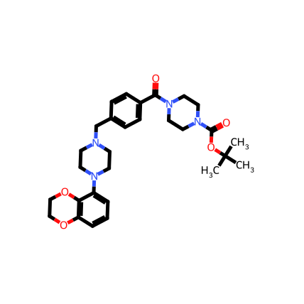 CC(C)(C)OC(=O)N1CCN(C(=O)c2ccc(CN3CCN(c4cccc5c4OCCO5)CC3)cc2)CC1